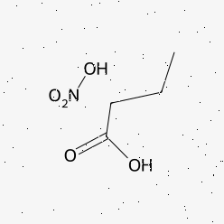 CCCC(=O)O.O=[N+]([O-])O